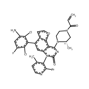 C=CC(=O)N1CCN(c2nc(=O)n(-c3c(C)ccnc3C(C)C)c3cc(-c4c(Cl)c(N)cc(F)c4Cl)c4ccoc4c23)[C@@H](C)C1